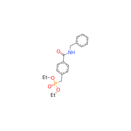 CCOP(=O)(Cc1ccc(C(=O)NCc2ccccc2)cc1)OCC